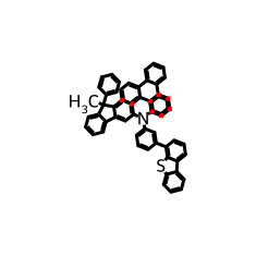 CC1(c2ccccc2)c2ccccc2-c2cc(N(c3cccc(-c4cccc5c4sc4ccccc45)c3)c3ccccc3-c3ccccc3-c3ccccc3-c3ccccc3)ccc21